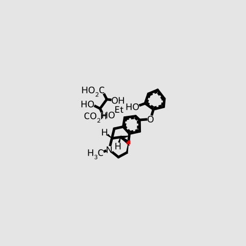 CCO.CN1CC[C@]23CCCC[C@H]2[C@H]1Cc1ccc(Oc2ccccc2O)cc13.O=C(O)C(O)C(O)C(=O)O